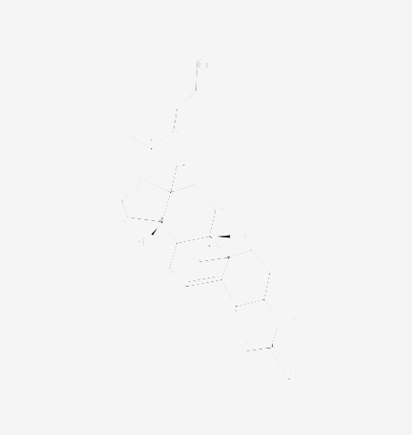 CC(C)CCCC(C)[C@H]1CC[C@H]2C3CC=C4CC(OC(=O)Cl)CCC4(C)[C@H]3CCC12C